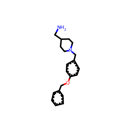 NCC1CCN(Cc2ccc(OCc3ccccc3)cc2)CC1